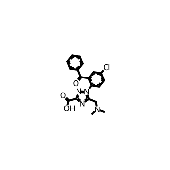 CN(C)Cc1nc(C(=O)O)nn1-c1ccc(Cl)cc1C(=O)c1ccccc1